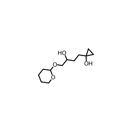 OC(CCC1(O)CC1)COC1CCCCO1